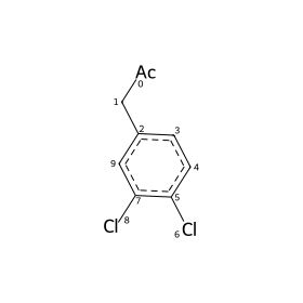 CC(=O)Cc1ccc(Cl)c(Cl)c1